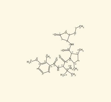 CCOC1OC(=O)CC1NC(=O)C1C(C)CC(C)N1C(=O)C(NC(=O)c1cccc(OC)c1C)C(C)(C)C